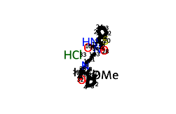 COc1cccc2c1[C@@H]1CN(CCCCn3c(=O)[nH]c4c(sc5ccccc54)c3=O)C[C@@H]1CO2.Cl